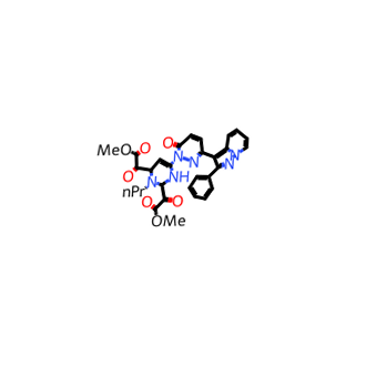 CCCN1C(C(=O)C(=O)OC)C=C(n2nc(-c3c(-c4ccccc4)nn4ccccc34)ccc2=O)NC1C(=O)C(=O)OC